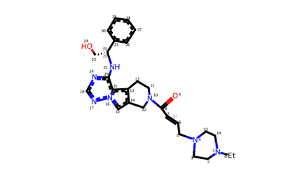 CCN1CCN(C/C=C/C(=O)N2CCc3c(cn4ncnc(N[C@H](CO)c5ccccc5)c34)C2)CC1